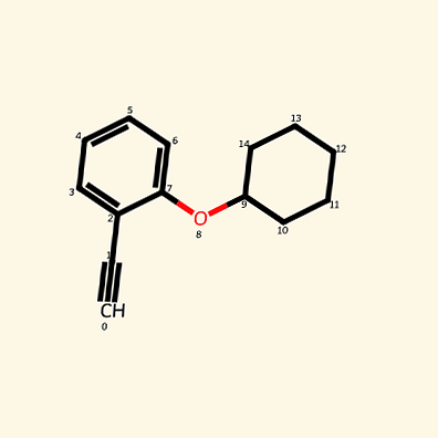 C#Cc1ccccc1OC1CCCCC1